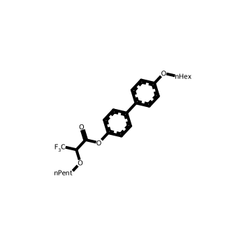 CCCCCCOc1ccc(-c2ccc(OC(=O)C(OCCCCC)C(F)(F)F)cc2)cc1